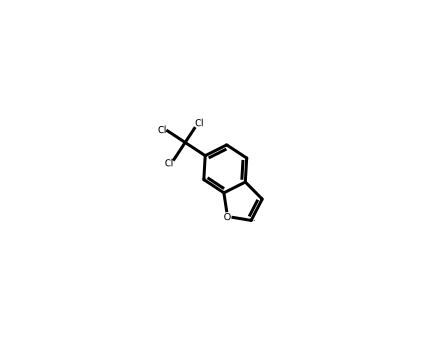 ClC(Cl)(Cl)c1ccc2c[c]oc2c1